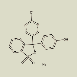 O=S1(=O)OC(c2ccc([O-])cc2)(c2ccc(O)cc2)c2ccccc21.[Na+]